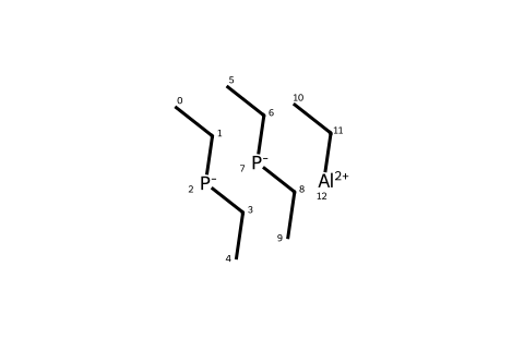 CC[P-]CC.CC[P-]CC.C[CH2][Al+2]